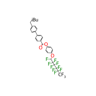 CCC(C)Cc1ccc(-c2ccc(C(=O)Oc3ccc(OC(F)C(F)(F)C(F)(F)C(F)(F)C(F)(F)C(F)(F)F)cc3)cc2)cc1